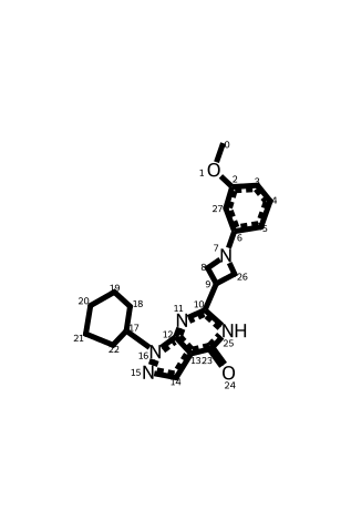 COc1cccc(N2CC(c3nc4c(cnn4C4CCCCC4)c(=O)[nH]3)C2)c1